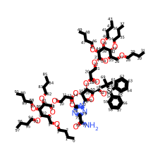 CCCCOCC1O[C@@H](OCCC(=O)O[C@@H]2[C@H](OC(=O)CCO[C@@H]3OC(COCCCC)[C@H](OCCCC)C(OCCCC)C3OCCCC)[C@@H](CO[Si](c3ccccc3)(c3ccccc3)C(C)(C)C)O[C@H]2n2cnc(C(N)=O)n2)C(OCCCC)C(OCCCC)[C@H]1OCCCC